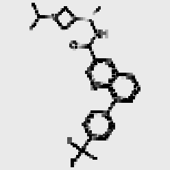 CC(C)N1CC([C@H](C)NC(=O)c2cnc3c(-c4ccc(C(F)(F)F)cc4)cccc3c2)C1